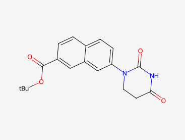 CC(C)(C)OC(=O)c1ccc2ccc(N3CCC(=O)NC3=O)cc2c1